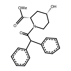 COC(=O)[C@@H]1C[C@H](O)CCN1C(=O)C(c1ccccc1)c1ccccc1